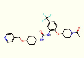 CC(=O)N1CCC(Oc2ccc(C(F)(F)F)cc2NC(=O)N[C@H]2CC[C@H](OCc3ccncc3)CC2)CC1